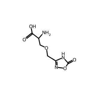 NC(COCc1noc(=O)[nH]1)C(=O)O